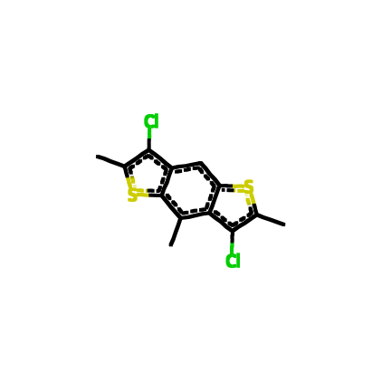 Cc1sc2c(C)c3c(Cl)c(C)sc3cc2c1Cl